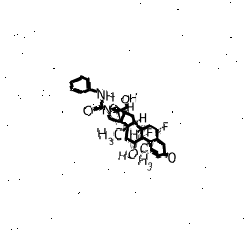 C[C@]12C=CC(=O)C=C1[C@@H](F)C[C@H]1[C@@H]3C[C@H]4CN(C(=O)Nc5ccccc5)C[C@@]4(C(=O)CO)[C@@]3(C)C[C@H](O)[C@@]12F